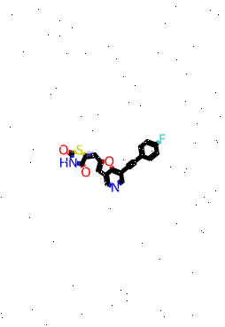 O=C1NC(=O)/C(=C\c2cc3cncc(C#Cc4ccc(F)cc4)c3o2)S1